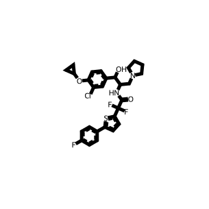 O=C(NC(CN1CCCC1)C(O)c1ccc(OC2CC2)c(Cl)c1)C(F)(F)c1ccc(-c2ccc(F)cc2)s1